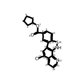 O=C(OC1CCCC1)c1ccc2c(c1)-c1cc(Cl)c3cccnc3c1NS2